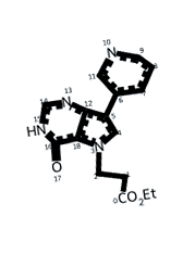 CCOC(=O)CCn1cc(-c2cccnc2)c2nc[nH]c(=O)c21